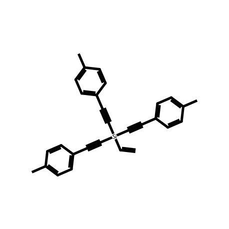 C=C[Si](C#Cc1ccc(C)cc1)(C#Cc1ccc(C)cc1)C#Cc1ccc(C)cc1